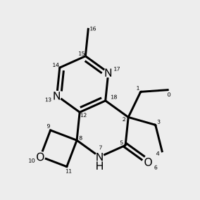 CCC1(CC)C(=O)NC2(COC2)c2ncc(C)nc21